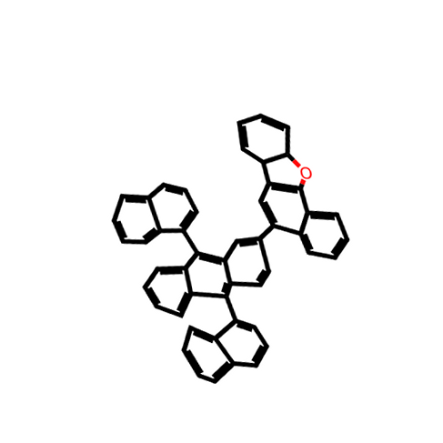 C1=CC2Oc3c(cc(-c4ccc5c(-c6cccc7ccccc67)c6ccccc6c(-c6cccc7ccccc67)c5c4)c4ccccc34)C2C=C1